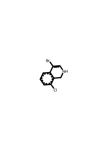 Clc1cccc2c1CNC=C2Br